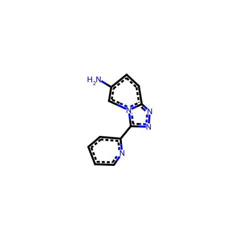 Nc1ccc2nnc(-c3ccccn3)n2c1